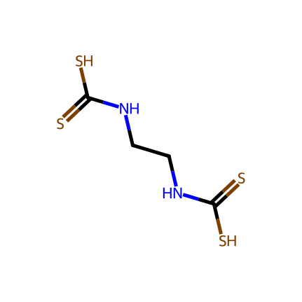 S=C(S)NCCNC(=S)S